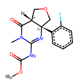 CN1C(=O)[C@@H]2COC[C@]2(c2ccccc2F)N=C1NC(=O)OC(C)(C)C